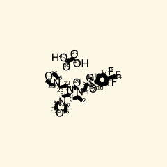 CC(C)N(CCS(=O)(=O)c1ccc(C(F)(F)F)cc1)C(=O)N(CCN1CCOCC1)CCN1CCOCC1.O=C(O)C(=O)O